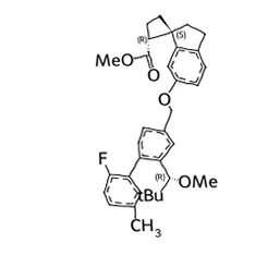 COC(=O)[C@@H]1CC[C@]12CCc1ccc(OCc3ccc(-c4cc(C)ccc4F)c([C@H](OC)C(C)(C)C)c3)cc12